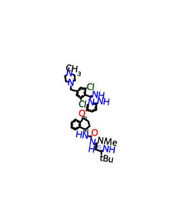 CN/C(=C\C(=N)C(C)(C)C)NC(=O)N[C@H]1CC[C@@H](Oc2ccc(=N)n(C(=N)c3c(Cl)cc(CN4CCN(C)CC4)cc3Cl)c2)c2ccccc21